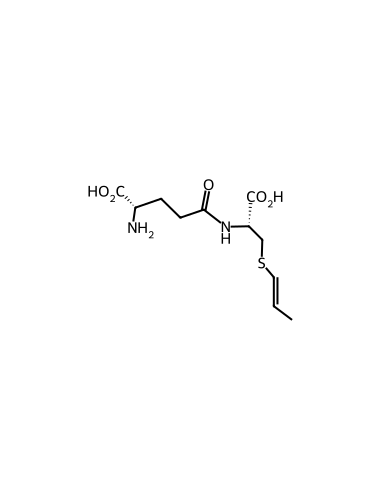 C/C=C/SC[C@H](NC(=O)CC[C@H](N)C(=O)O)C(=O)O